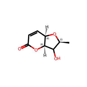 C[C@@H]1O[C@@H]2C=CC(=O)O[C@@H]2C1O